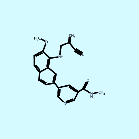 C=C(C#N)CNc1c(OC)ccc2ccc(-c3cncc(C(=O)NC)c3)cc12